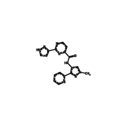 Cn1cc(NC(=O)c2ccnc(-c3cc[nH]n3)n2)c(-c2ccccn2)n1